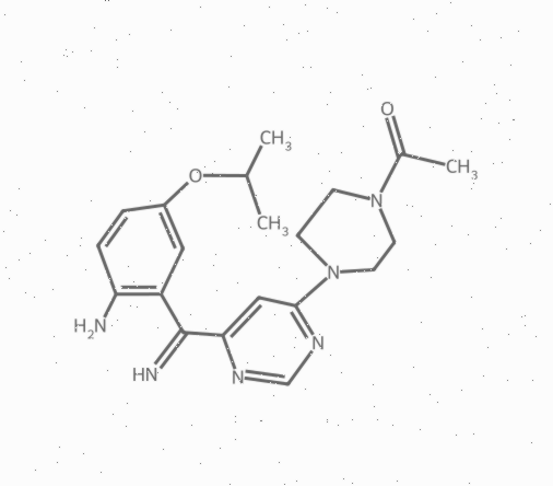 CC(=O)N1CCN(c2cc(C(=N)c3cc(OC(C)C)ccc3N)ncn2)CC1